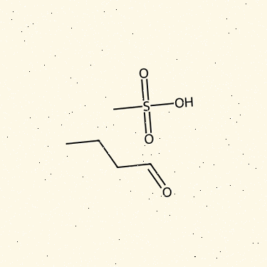 CCCC=O.CS(=O)(=O)O